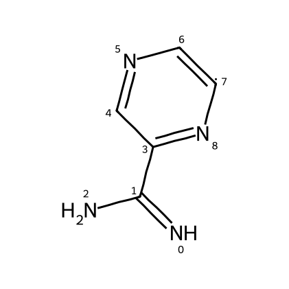 N=C(N)c1cnc[c]n1